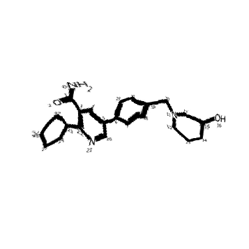 NC(=O)c1cc(-c2ccc(CN3CCCC(O)C3)cc2)cnc1C1CCCC1